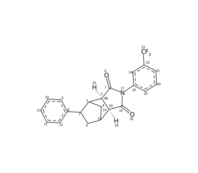 O=C1[C@@H]2C3CC(CC3c3ccccc3)[C@@H]2C(=O)N1c1cccc(C(F)(F)F)c1